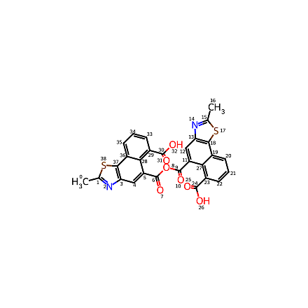 Cc1nc2cc(C(=O)OC(=O)c3cc4nc(C)sc4c4cccc(C(=O)O)c34)c3c(C(=O)O)cccc3c2s1